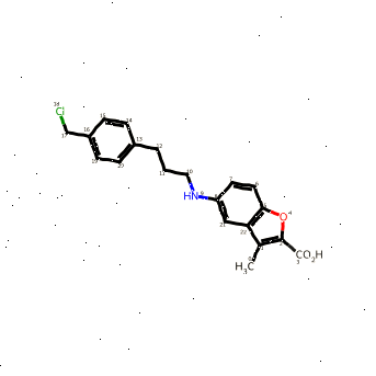 Cc1c(C(=O)O)oc2ccc(NCCCc3ccc(CCl)cc3)cc12